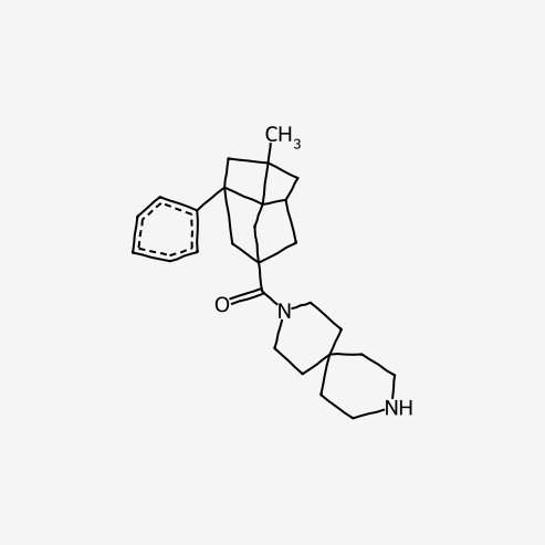 CC12CC3CC4(C(=O)N5CCC6(CCNCC6)CC5)CC(c5ccccc5)(C1)C32C4